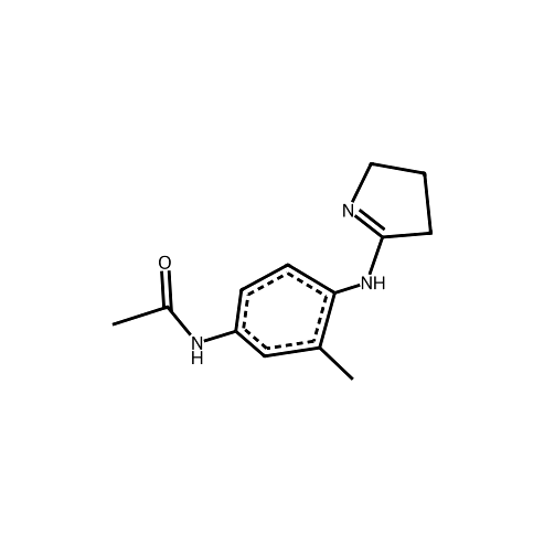 CC(=O)Nc1ccc(NC2=NCCC2)c(C)c1